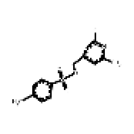 Cc1ccc(S(=O)(=O)OCc2cc(C)nc(Cl)n2)cc1